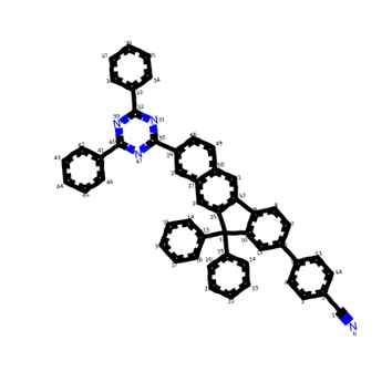 N#Cc1ccc(-c2ccc3c(c2)C(c2ccccc2)(c2ccccc2)c2cc4cc(-c5nc(-c6ccccc6)nc(-c6ccccc6)n5)ccc4cc2-3)cc1